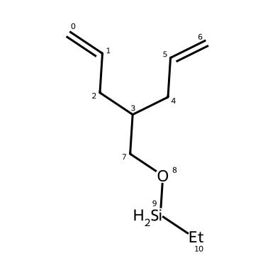 C=CCC(CC=C)CO[SiH2]CC